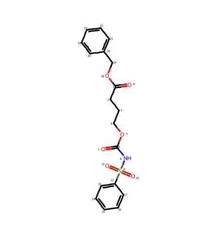 O=C(CCCOC(=O)NS(=O)(=O)c1ccccc1)OCc1ccccc1